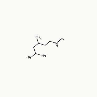 CCCC(CCC)CC(C)CCNC(C)C